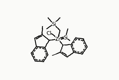 CC1=Cc2ccccc2[CH]1[Zr]([Cl])([CH2][Si](C)(C)C)([CH]1C(C)=Cc2ccccc21)=[Si](C)C